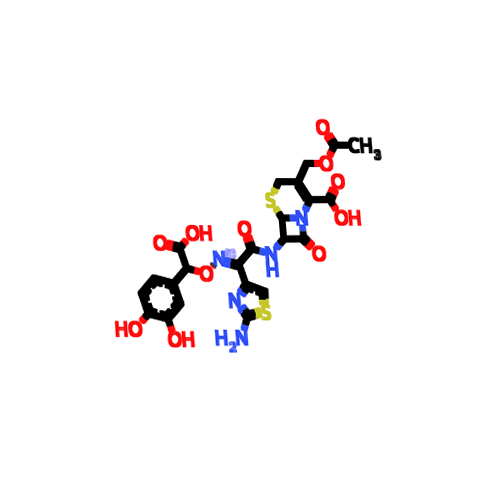 CC(=O)OCC1=C(C(=O)O)N2C(=O)C(NC(=O)/C(=N/OC(C(=O)O)c3ccc(O)c(O)c3)c3csc(N)n3)C2SC1